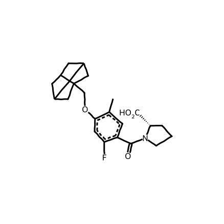 Cc1cc(C(=O)N2CCC[C@H]2C(=O)O)c(F)cc1OCC12CC3CC1CC3C2